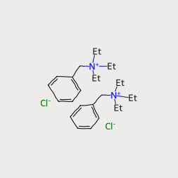 CC[N+](CC)(CC)Cc1ccccc1.CC[N+](CC)(CC)Cc1ccccc1.[Cl-].[Cl-]